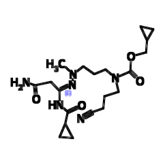 CN(CCCN(CCCC#N)C(=O)OCC1CC1)/N=C(\CC(N)=O)NC(=O)C1CC1